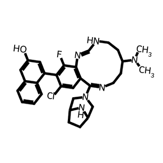 CN(C)C1CC/N=C(/N2CC3CCC(C2)N3)c2cc(Cl)c(-c3cc(O)cc4ccccc34)c(F)c2/N=C/NCC1